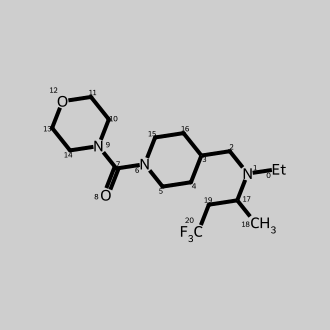 CCN(CC1CCN(C(=O)N2CCOCC2)CC1)C(C)CC(F)(F)F